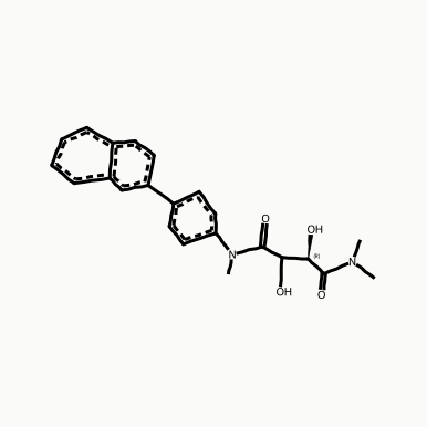 CN(C)C(=O)[C@H](O)C(O)C(=O)N(C)c1ccc(-c2ccc3ccccc3c2)cc1